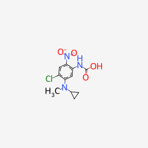 CN(c1cc(NC(=O)O)c([N+](=O)[O-])cc1Cl)C1CC1